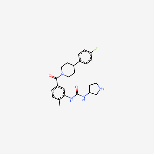 Cc1ccc(C(=O)N2CCC(c3ccc(F)cc3)CC2)cc1NC(=O)NC1CCNC1